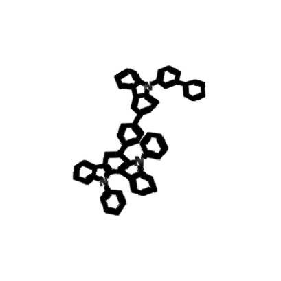 c1ccc(-c2cccc(-n3c4ccccc4c4cc(-c5ccc(-c6cc7c8ccccc8n(-c8ccccc8)c7c7c8ccccc8n(-c8ccccc8)c67)cc5)ccc43)c2)cc1